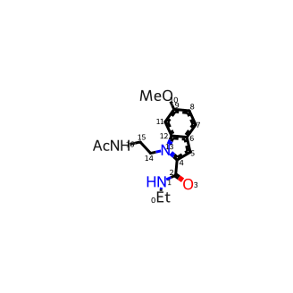 CCNC(=O)c1cc2ccc(OC)cc2n1CCNC(C)=O